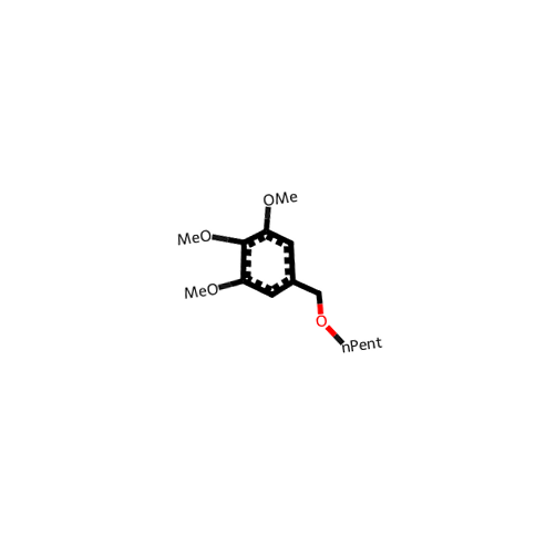 CCCCCOCc1cc(OC)c(OC)c(OC)c1